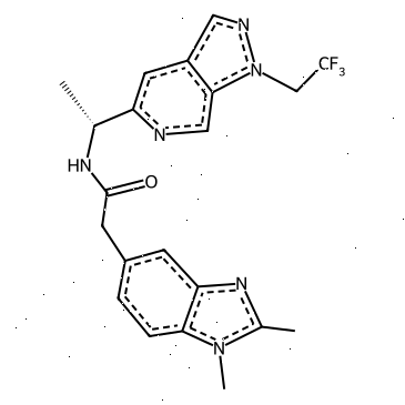 Cc1nc2cc(CC(=O)N[C@H](C)c3cc4cnn(CC(F)(F)F)c4cn3)ccc2n1C